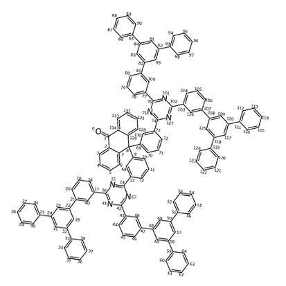 O=C1c2ccccc2C(c2cccc(-c3nc(-c4cccc(-c5cc(-c6ccccc6)cc(-c6ccccc6)c5)c4)nc(-c4cccc(-c5cc(-c6ccccc6)cc(-c6ccccc6)c5)c4)n3)c2)(c2cccc(-c3nc(-c4cccc(-c5cc(-c6ccccc6)cc(-c6ccccc6)c5)c4)nc(-c4cccc(-c5cc(-c6ccccc6)cc(-c6ccccc6)c5)c4)n3)c2)c2ccccc21